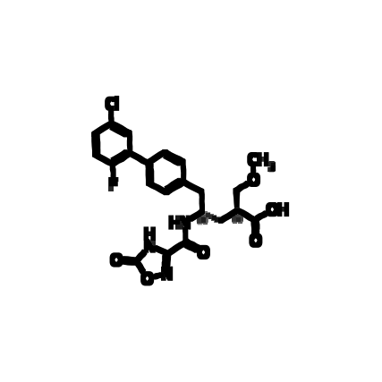 COC[C@H](C[C@@H](Cc1ccc(-c2cc(Cl)ccc2F)cc1)NC(=O)c1noc(=O)[nH]1)C(=O)O